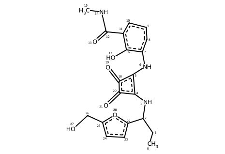 CCC(Nc1c(Nc2cccc(C(=O)NC)c2O)c(=O)c1=O)c1ccc(CO)o1